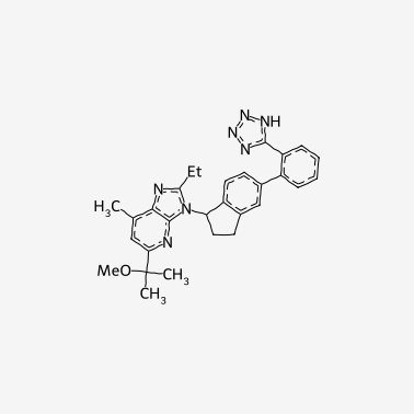 CCc1nc2c(C)cc(C(C)(C)OC)nc2n1C1CCc2cc(-c3ccccc3-c3nnn[nH]3)ccc21